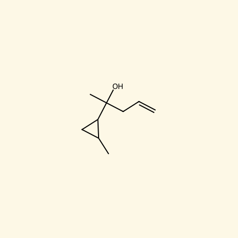 C=CCC(C)(O)C1CC1C